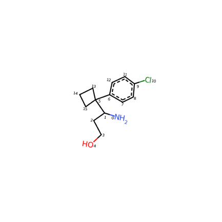 NC(CCO)C1(c2ccc(Cl)cc2)CCC1